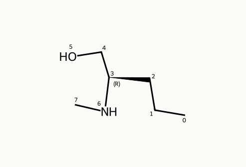 CCC[C@H](CO)NC